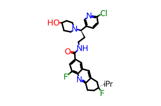 CC(C)[C@]1(F)CCc2nc3c(F)cc(C(=O)NCC[C@H](c4ccc(Cl)nc4)N4CCC(O)CC4)cc3cc2C1